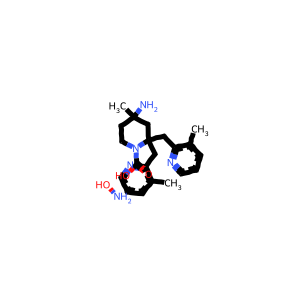 Cc1cccnc1CC1(Cc2ncccc2C)CC(C)(N)CCN1C(=O)O.NO